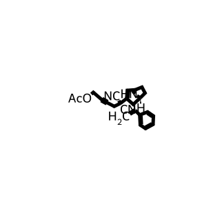 C=C(c1ccccc1)[C@@H]1C(C(C#N)(C#N)CC#CCOC(C)=O)=CC2CC[C@@H]1N2